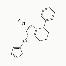 C1=CC[C]([Zr+2][CH]2C=CC3=C2CCCC3c2ccccc2)=C1.[Cl-].[Cl-]